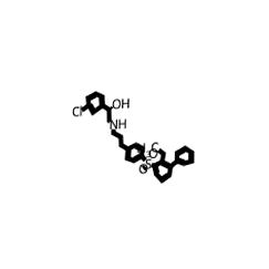 CCc1c(-c2ccccc2)cccc1S(=O)(=O)c1ccc(CCCNC[C@H](O)c2cccc(Cl)c2)cc1